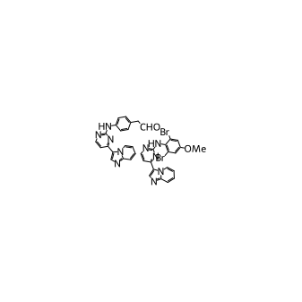 COc1cc(Br)c(Nc2nccc(-c3cnc4ccccn34)n2)c(Br)c1.O=CCc1ccc(Nc2nccc(-c3cnc4ccccn34)n2)cc1